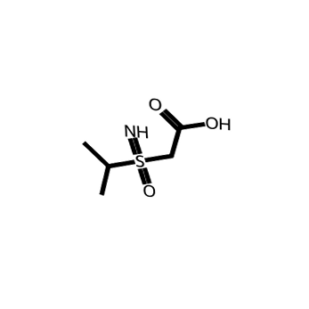 CC(C)S(=N)(=O)CC(=O)O